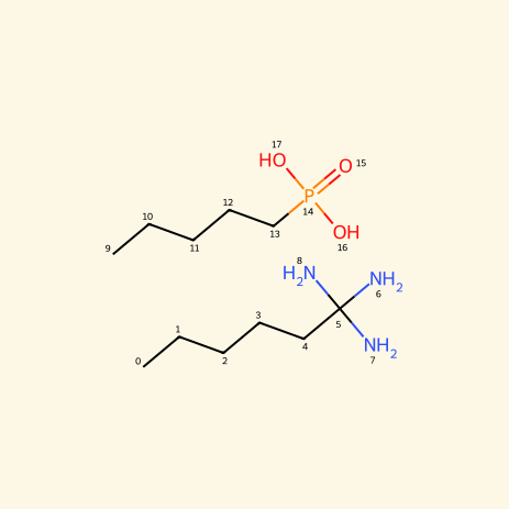 CCCCCC(N)(N)N.CCCCCP(=O)(O)O